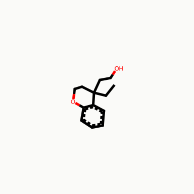 CCC1(CCO)CCOc2ccccc21